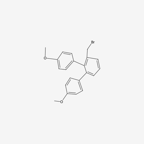 COc1ccc(-c2cccc(CBr)c2-c2ccc(OC)cc2)cc1